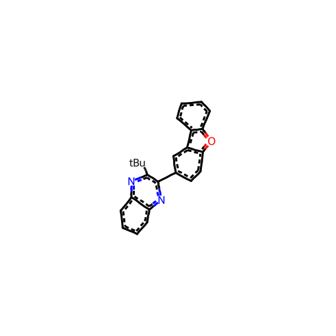 CC(C)(C)c1nc2ccccc2nc1-c1ccc2oc3ccccc3c2c1